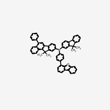 CC1(C)c2ccccc2-c2ccc(N(c3ccc(-c4cccc5c4oc4ccccc45)cc3)c3ccc4c(c3)C(C)(C)c3c-4cc(-c4ccccc4)c4ccccc34)cc21